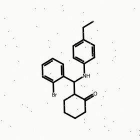 CCc1ccc(NC(c2ccccc2Br)C2CCCCC2=O)cc1